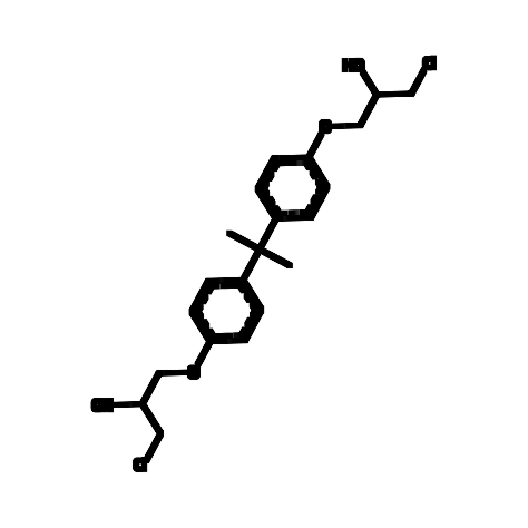 CC(C)(c1ccc(OCC(O)CCl)cc1)c1ccc(OCC(CCl)N=O)cc1